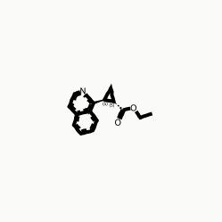 CCOC(=O)[C@H]1C[C@@H]1c1nccc2ccccc12